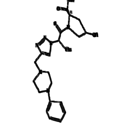 CNC(=O)[C@H]1CC(O)CN1C(=O)C(n1cc(CN2CCN(c3ccccc3)CC2)nn1)C(C)(C)C